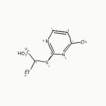 CCC(Sc1nccc(Cl)n1)C(=O)O